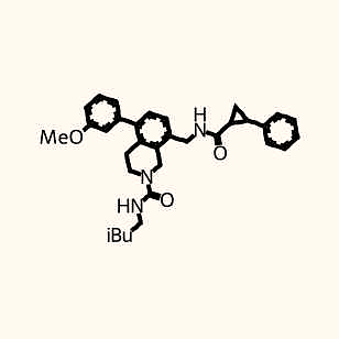 CCC(C)CNC(=O)N1CCc2c(-c3cccc(OC)c3)ccc(CNC(=O)C3CC3c3ccccc3)c2C1